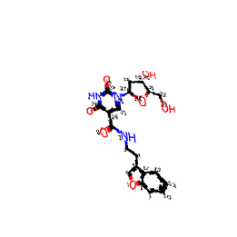 O=C(NCCc1coc2ccccc12)c1cn([C@H]2C[C@H](O)[C@@H](CO)O2)c(=O)[nH]c1=O